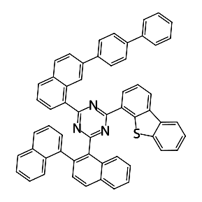 c1ccc(-c2ccc(-c3ccc4cccc(-c5nc(-c6c(-c7cccc8ccccc78)ccc7ccccc67)nc(-c6cccc7c6sc6ccccc67)n5)c4c3)cc2)cc1